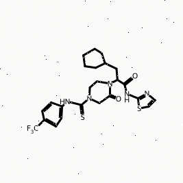 O=C(Nc1nccs1)C(CC1CCCCC1)N1CCN(C(=S)Nc2ccc(C(F)(F)F)cc2)CC1=O